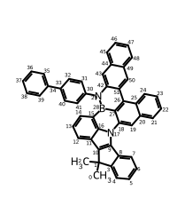 CC1(C)c2ccccc2-c2c1c1cccc3c1n2-c1cc2ccccc2c2c1B3N(c1ccc(-c3ccccc3)cc1)c1cc3ccccc3cc1-2